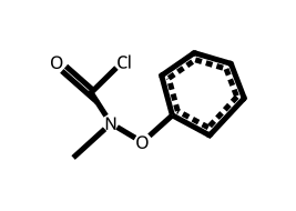 CN(Oc1ccccc1)C(=O)Cl